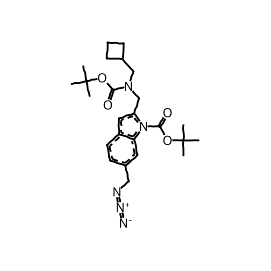 CC(C)(C)OC(=O)N(Cc1cc2ccc(CN=[N+]=[N-])cc2n1C(=O)OC(C)(C)C)CC1CCC1